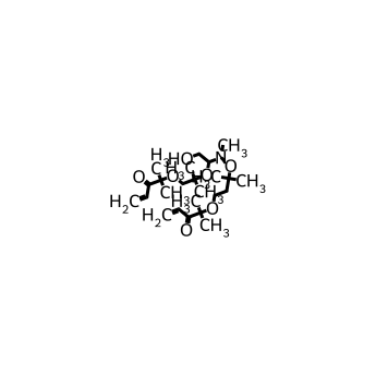 C=CC(=O)C(C)(C)OCCC(C)(C)ON(C)C(CO)OC(C)(C)COC(C)(C)C(=O)C=C